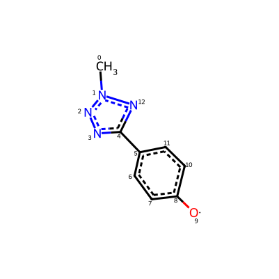 Cn1nnc(-c2ccc([O])cc2)n1